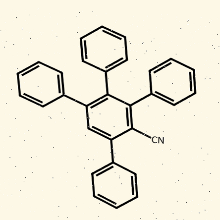 N#Cc1c(-c2ccccc2)cc(-c2ccccc2)c(-c2ccccc2)c1-c1ccccc1